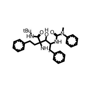 CN(C(=O)NC(Cc1ccccc1)C(O)C(N)(CCc1ccccc1)C(=O)NC(C)(C)C)c1ccccc1